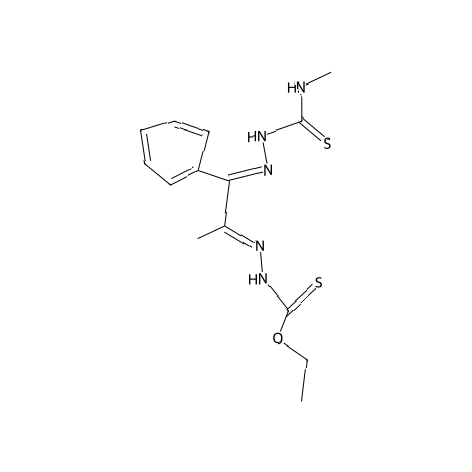 CCOC(=S)N/N=C(C)/C(=N/NC(=S)NC)c1ccccc1